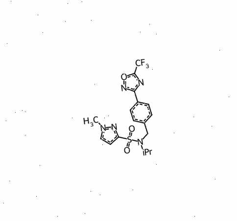 CC(C)N(Cc1ccc(-c2noc(C(F)(F)F)n2)cc1)S(=O)(=O)c1ccn(C)n1